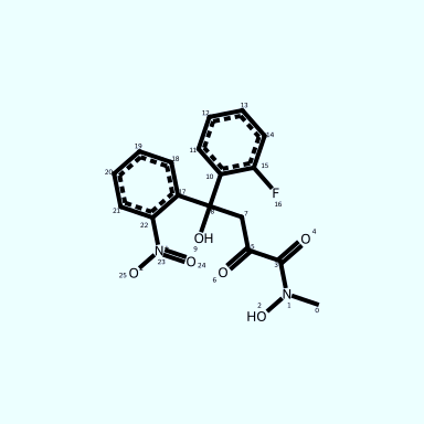 CN(O)C(=O)C(=O)CC(O)(c1ccccc1F)c1ccccc1[N+](=O)[O-]